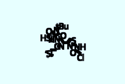 C[SiH](C)C1(NC(=O)C(=NOCC[Si](C)(C)C)c2csc(NC(=O)CCl)n2)CN(C(C)(C)C)C1=O